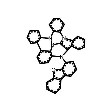 c1ccc2c(c1)-c1cccc3c1B1c4c(c5ccccc5n4-c4ccccc4N12)N3c1cccc2c1oc1ccccc12